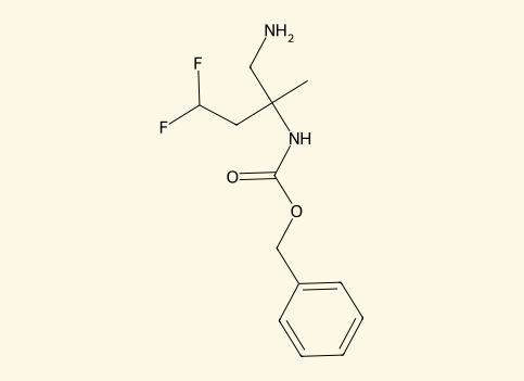 CC(CN)(CC(F)F)NC(=O)OCc1ccccc1